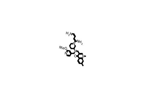 COc1cc(CN(Cc2cn(C)c3cc(C)ccc3c2=O)C2CCCN(/C(N)=C/C=C\N)C2)ccn1